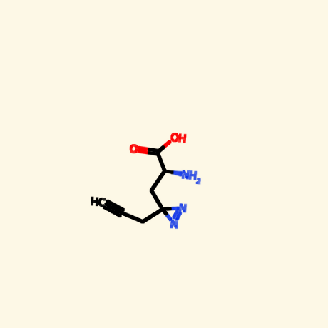 C#CCC1(C[C@H](N)C(=O)O)N=N1